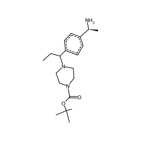 CCC(c1ccc([C@H](C)N)cc1)N1CCN(C(=O)OC(C)(C)C)CC1